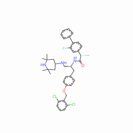 C[C@H](C(=O)N[C@H](CNC1CC(C)(C)NC(C)(C)C1)Cc1ccc(OCc2c(Cl)cccc2Cl)cc1)c1ccc(-c2ccccc2)c(F)c1